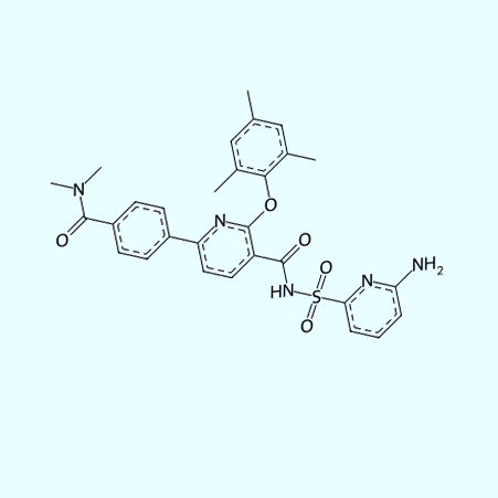 Cc1cc(C)c(Oc2nc(-c3ccc(C(=O)N(C)C)cc3)ccc2C(=O)NS(=O)(=O)c2cccc(N)n2)c(C)c1